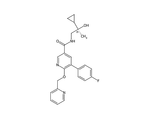 C[C@](O)(CNC(=O)c1cnc(OCc2ccccn2)c(-c2ccc(F)cc2)c1)C1CC1